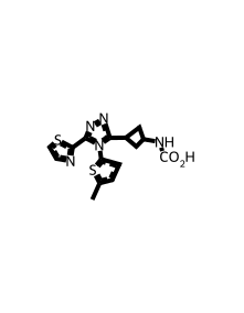 Cc1ccc(-n2c(-c3nccs3)nnc2C2CC(NC(=O)O)C2)s1